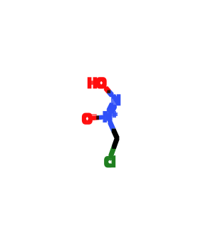 [O-][N+](CCl)=NO